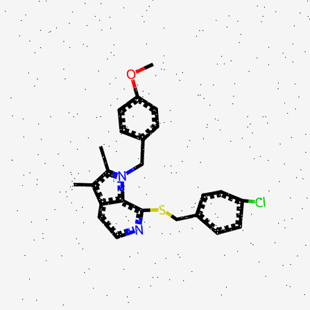 COc1ccc(Cn2c(C)c(C)c3ccnc(SCc4ccc(Cl)cc4)c32)cc1